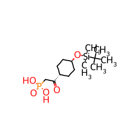 CC(C)(C)[Si](C)(C)O[C@H]1CC[C@H](C(=O)CP(=O)(O)O)CC1